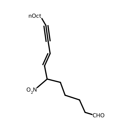 CCCCCCCCC#CC=CC(CCCCC=O)[N+](=O)[O-]